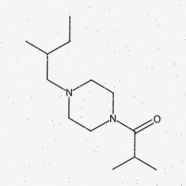 CCC(C)CN1CCN(C(=O)C(C)C)CC1